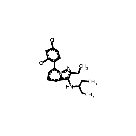 CCc1nn2c(-c3ccc(Cl)cc3Cl)cccc2c1NC(CC)CC